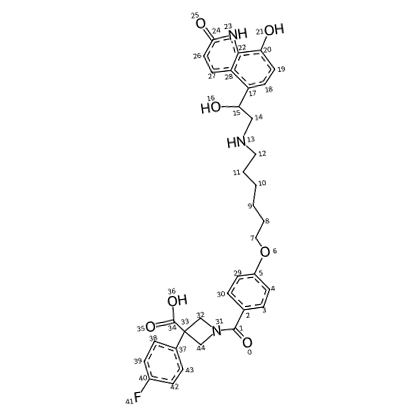 O=C(c1ccc(OCCCCCCNCC(O)c2ccc(O)c3[nH]c(=O)ccc23)cc1)N1CC(C(=O)O)(c2ccc(F)cc2)C1